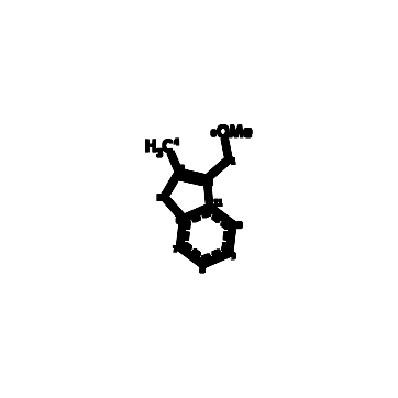 COCC1=C(C)Cc2ccccc21